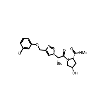 CNC(=O)[C@@H]1C[C@@H](O)CN1C(=O)[C@@H](n1cc(COc2cccc(Cl)c2)nn1)C(C)(C)C